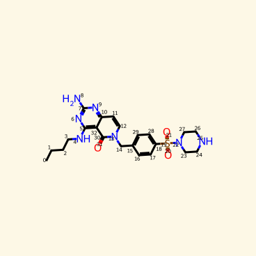 CCCCNc1nc(N)nc2ccn(Cc3ccc(S(=O)(=O)N4CCNCC4)cc3)c(=O)c12